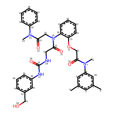 Cc1cc(C)cc(N(C)C(=O)COc2ccccc2N(CC(=O)N(C)c2ccccc2)C(=O)CNC(=O)Nc2cccc(CO)c2)c1